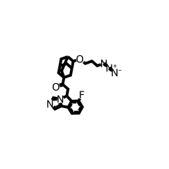 [N-]=[N+]=NCCCOC1C2CC3CC1CC(C(=O)CC1c4c(F)cccc4-c4cncn41)(C3)C2